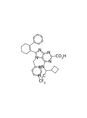 CC(Nc1nc(C(=O)O)nc2nc(C3=C(c4ccccc4)CCCC3)n(Cc3ccc(C(F)(F)F)cc3)c12)C1CCC1